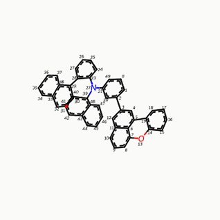 c1cc(-c2cc3c4c(cccc4c2)Oc2ccccc2-3)cc(N(c2ccccc2-c2cccc3ccccc23)c2cccc3ccccc23)c1